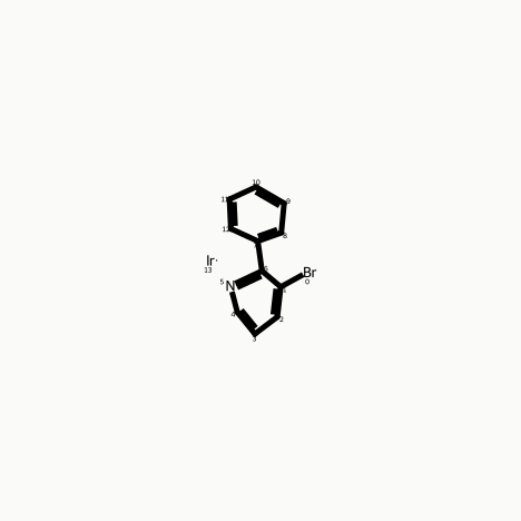 Brc1cccnc1-c1ccccc1.[Ir]